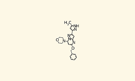 Cc1cc(-c2cc3nc(OCc4ccccc4)cc(N4CCOCC4)n3n2)n[nH]1